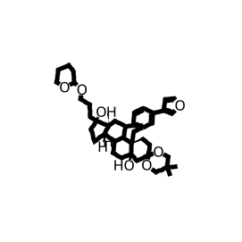 CC1(C)COC2(CC[C@@]34Cc5cc(-c6ccoc6)ccc5C5C[C@@]6(C)[C@H](CC[C@]6(O)CCCOC6CCCCO6)[C@H](CC[C@@]3(O)C2)C54)OC1